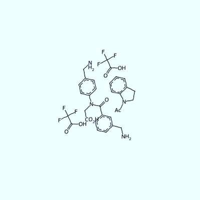 CC(=O)N1CCc2ccccc21.NCc1ccc(N(CC(=O)O)C(=O)c2cccc(CN)c2)cc1.O=C(O)C(F)(F)F.O=C(O)C(F)(F)F